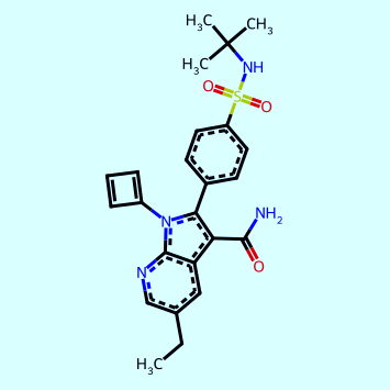 CCc1cnc2c(c1)c(C(N)=O)c(-c1ccc(S(=O)(=O)NC(C)(C)C)cc1)n2C1=CC=C1